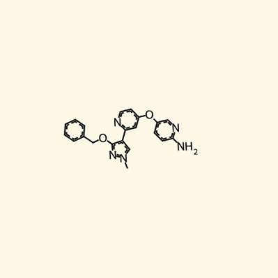 Cn1cc(-c2cc(Oc3ccc(N)nc3)ccn2)c(OCc2ccccc2)n1